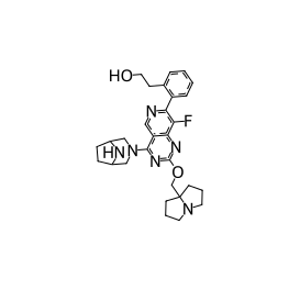 OCCc1ccccc1-c1ncc2c(N3CC4CCC(C3)N4)nc(OCC34CCCN3CCC4)nc2c1F